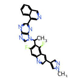 CC(c1c(F)cc2ncc(-c3cnn(C)c3)cc2c1F)n1cnc2ncc(-c3cncc4ccccc34)nc21